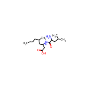 CCCCC(C)CC(CC(=O)O)NC(=O)C(N)CC(C)C